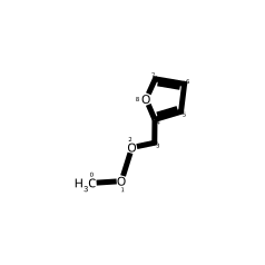 COOCc1ccco1